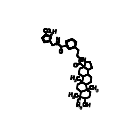 CC1(C)C(O)CCC2(C)C1CCC1(C)C3CCC4(C(=O)NCCc5cccc(C(=O)NCc6ccc(C(=O)O)s6)c5)CCCC4C3CCC12